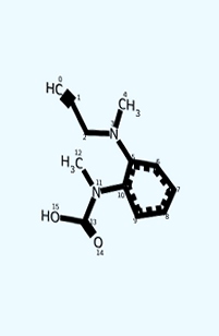 C#CCN(C)c1ccccc1N(C)C(=O)O